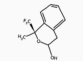 C[C@@]1(C(F)(F)F)OC(O)Cc2ccccc21